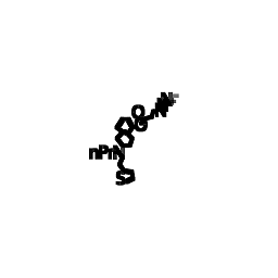 CCCN(CCc1cccs1)C1CCc2c(cccc2OC(=O)CCN=[N+]=[N-])C1